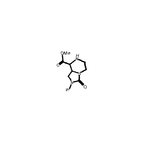 COC(=O)C1NCCN2C(=O)N(C(C)C)CC12